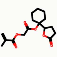 C=C(C)C(=O)OCC(=O)OC1(C2CCC(=O)O2)CCCCC1